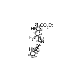 CCOC(=O)c1nc2cc(-n3cnc(COC(=O)Nc4ccccc4)c3)c(C(F)(F)F)cc2[nH]c1=O